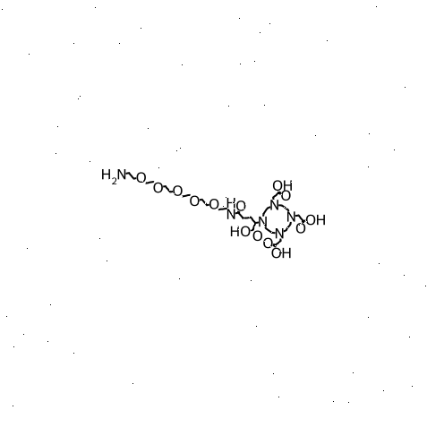 NCCOCCOCCOCCOCCOCCNC(=O)CCC(C(=O)O)N1CCN(CC(=O)O)CCN(CC(=O)O)CCN(CC(=O)O)CC1